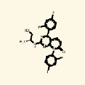 C[C@@H](CO)Nc1nc(-c2ccc(F)cc2F)c2ccc(=O)n(-c3ccc(F)cc3F)c2n1